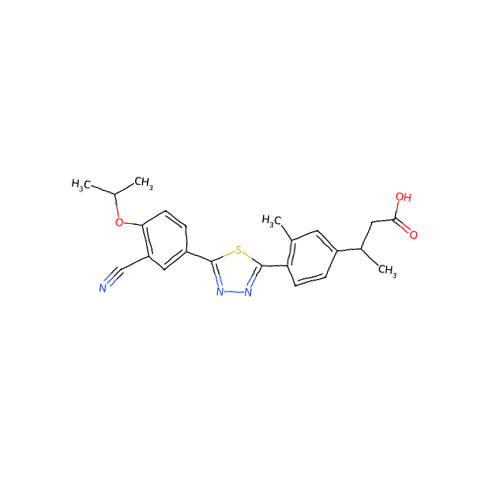 Cc1cc(C(C)CC(=O)O)ccc1-c1nnc(-c2ccc(OC(C)C)c(C#N)c2)s1